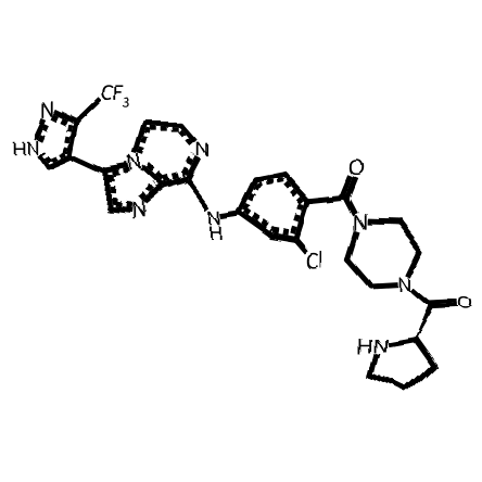 O=C(c1ccc(Nc2nccn3c(-c4c[nH]nc4C(F)(F)F)cnc23)cc1Cl)N1CCN(C(=O)[C@H]2CCCN2)CC1